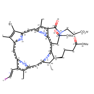 CCC1=C(C)c2cc3[nH]c(cc4nc(c(CC(=O)OC)c5[nH]c(cc1n2)c(C)c5C(=O)NCCC(=O)O)[C@@H](CCCC(=O)OC)[C@@H]4C)c(C)c3/C=C/I